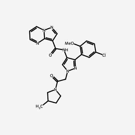 COc1ccc(Cl)cc1-c1nn(CC(=O)N2CCC(C)C2)cc1NC(=O)c1cnn2cccnc12